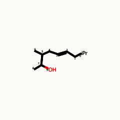 CC(C)CC=CCC(C)C(C)O